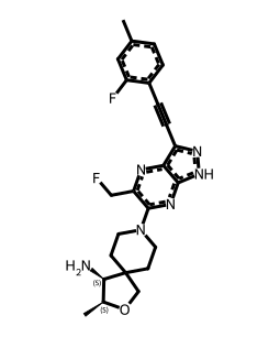 Cc1ccc(C#Cc2n[nH]c3nc(N4CCC5(CC4)CO[C@@H](C)[C@H]5N)c(CF)nc23)c(F)c1